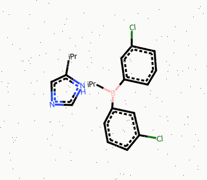 CC(C)B(c1cccc(Cl)c1)c1cccc(Cl)c1.CC(C)c1cnc[nH]1